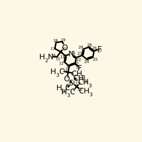 CC(C)(O[Si](C)(C)C(C)(C)C)c1cc(C2(CN)CCCO2)nc(-c2ccc(F)cc2)c1F